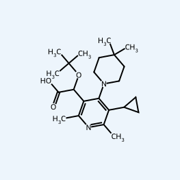 Cc1nc(C)c(C(OC(C)(C)C)C(=O)O)c(N2CCC(C)(C)CC2)c1C1CC1